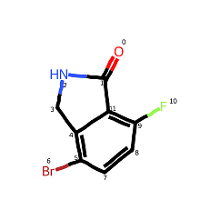 O=C1NCc2c(Br)ccc(F)c21